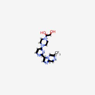 OCC(O)N1CCN(c2ccnc(-c3cnc4cnc(C(F)(F)F)cn34)n2)CC1